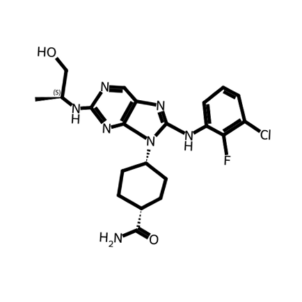 C[C@@H](CO)Nc1ncc2nc(Nc3cccc(Cl)c3F)n([C@H]3CC[C@@H](C(N)=O)CC3)c2n1